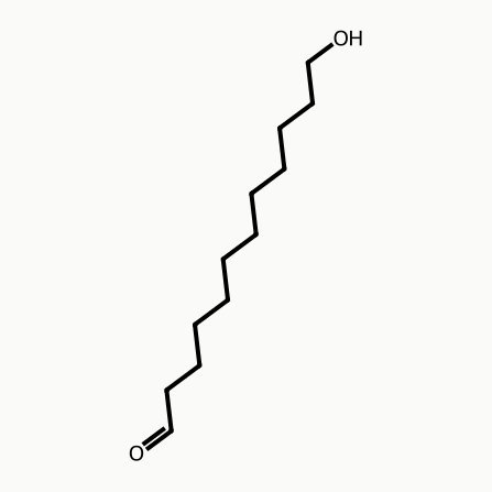 O=CCCCCCCCCCCCO